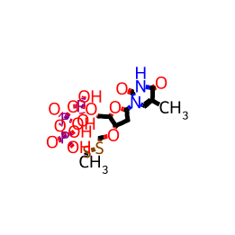 CSSCOC1CC(n2cc(C)c(=O)[nH]c2=O)OC1COP(=O)(O)OP(=O)(O)OP(=O)(O)O